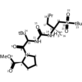 COC(=O)[C@@H]1CCCN1C(=O)C(NC(=O)N[C@@](C)(CC(C)C)CS(=O)(=O)C(C)(C)C)C(C)(C)C